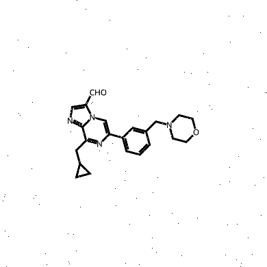 O=Cc1cnc2c(CC3CC3)nc(-c3cccc(CN4CCOCC4)c3)cn12